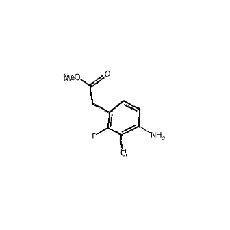 COC(=O)Cc1ccc(N)c(Cl)c1F